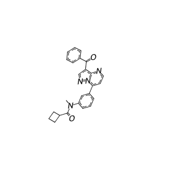 CN(C(=O)C1CCC1)c1cccc(-c2ccnc3c(C(=O)c4ccccc4)cnn23)c1